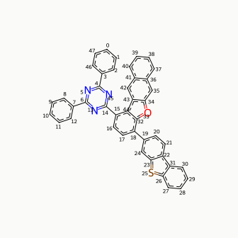 c1ccc(-c2nc(-c3ccccc3)nc(-c3ccc(-c4ccc5c(c4)sc4ccccc45)c4oc5cc6ccccc6cc5c34)n2)cc1